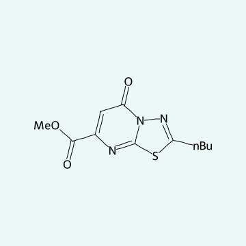 CCCCc1nn2c(=O)cc(C(=O)OC)nc2s1